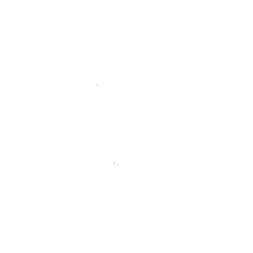 CC(C)[N+]1(C)C2CCC1CC(OC(=O)C(CO)c1ccccc1)C2.[F-]